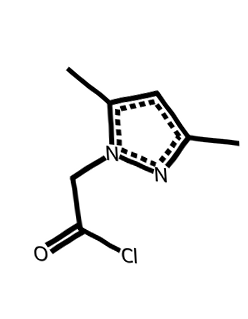 Cc1cc(C)n(CC(=O)Cl)n1